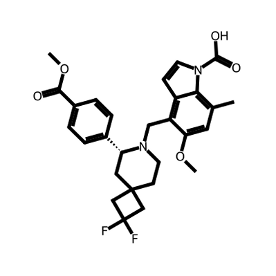 COC(=O)c1ccc([C@H]2CC3(CCN2Cc2c(OC)cc(C)c4c2ccn4C(=O)O)CC(F)(F)C3)cc1